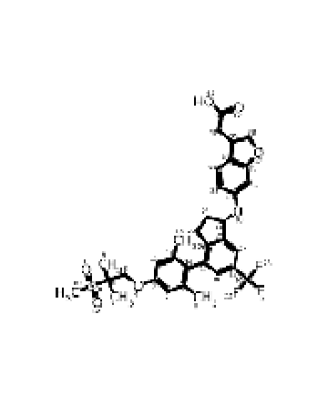 Cc1cc(OCC(C)(C)S(C)(=O)=O)cc(C)c1-c1cc(C(F)(F)F)cc2c1CC[C@H]2Oc1ccc2c(c1)OCC2CC(=O)O